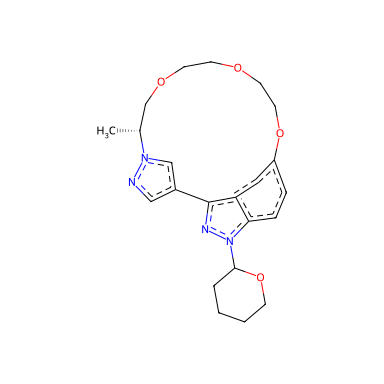 C[C@@H]1COCCOCCOc2ccc3c(c2)c(nn3C2CCCCO2)-c2cnn1c2